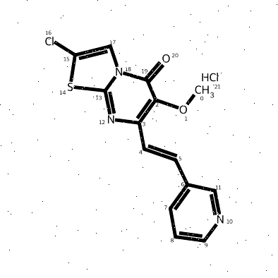 COc1c(/C=C/c2cccnc2)nc2sc(Cl)cn2c1=O.Cl